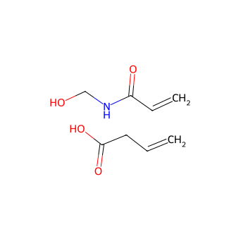 C=CC(=O)NCO.C=CCC(=O)O